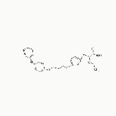 CCOC(Cc1ccc(OCCCOc2ccc(Oc3ccccc3)cc2)cc1)C(=O)O